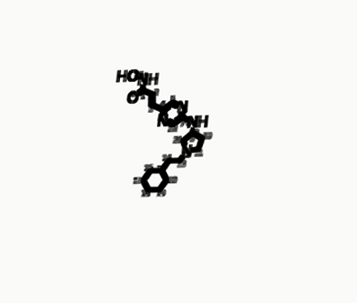 O=C(C=Cc1cnc(N[C@@H]2CCN(CCC3CCCCC3)C2)cn1)NO